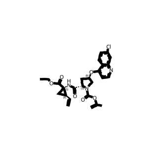 C=C[C@H]1C[C@@]1(NC(=O)[C@@H]1C[C@@H](Oc2ccnc3cc(Cl)ccc23)CN1C(=O)OC(=C)C)C(=O)OCC